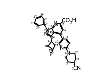 N#CC1CCN(c2ccc(-c3cc(C(=O)O)nc4c3c(C3CC(F)C3)nn4-c3ccccc3)cn2)CC1